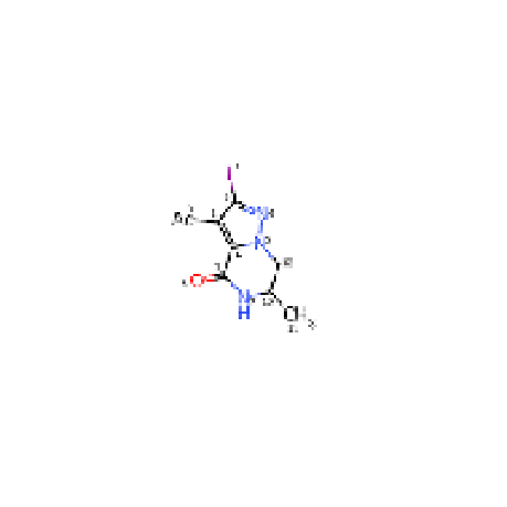 CC(=O)c1c(I)nn2c1C(=O)NC(C)C2